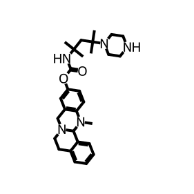 CN1c2ccc(OC(=O)NC(C)(C)CC(C)(C)N3CCNCC3)cc2CN2CCc3ccccc3C21